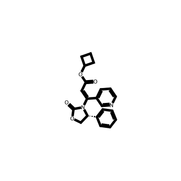 O=C([C]=C(c1cccnc1)N1C(=O)OC[C@H]1c1ccccc1)OC1CCC1